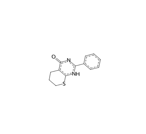 O=c1nc(-c2ccccc2)[nH]c2c1CCCS2